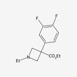 CCOC(=O)C1(c2ccc(F)c(F)c2)CN(CC)C1